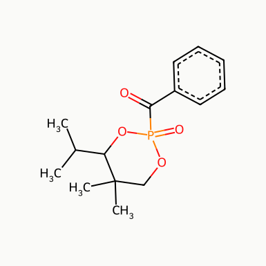 CC(C)C1OP(=O)(C(=O)c2ccccc2)OCC1(C)C